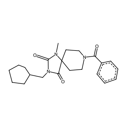 CN1C(=O)N(CC2CCCCC2)C(=O)C12CCN(C(=O)c1ccccc1)CC2